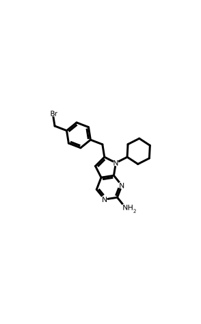 Nc1ncc2cc(Cc3ccc(CBr)cc3)n(C3CCCCC3)c2n1